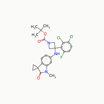 CN1C(=O)C2(CC2)c2ccc(NC3(c4c(F)ccc(Cl)c4Cl)CN(C(=O)OC(C)(C)C)C3)cc21